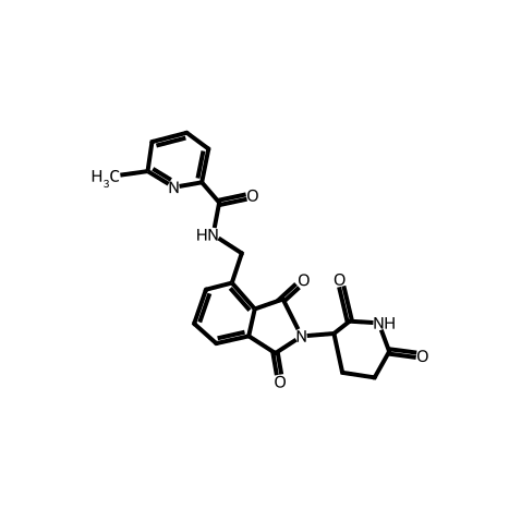 Cc1cccc(C(=O)NCc2cccc3c2C(=O)N(C2CCC(=O)NC2=O)C3=O)n1